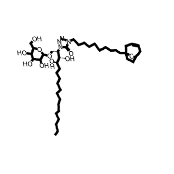 CCCCCCCCCCCCCC[C@@H](O)[C@@H](O)[C@H](COC1OC(CO)C(O)C(O)C1O)n1nnn(CCCCCCCCCCC23CC=CCC(CC2)C3)c1=O